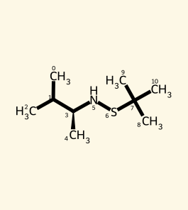 CC(C)[C@H](C)NSC(C)(C)C